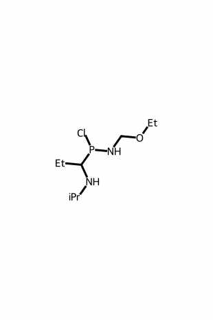 CCOCNP(Cl)C(CC)NC(C)C